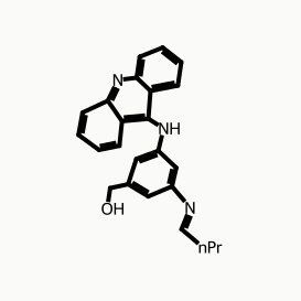 CCCC=Nc1cc(CO)cc(Nc2c3ccccc3nc3ccccc23)c1